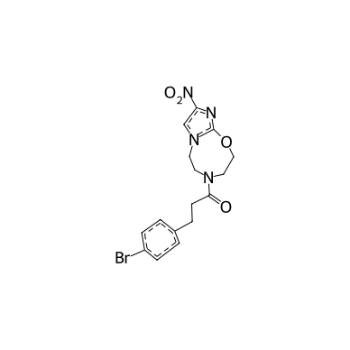 O=C(CCc1ccc(Br)cc1)N1CCOc2nc([N+](=O)[O-])cn2CC1